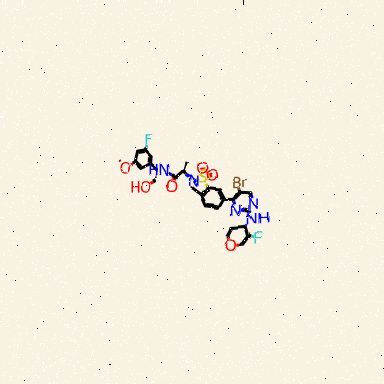 COc1cc(F)cc([C@@H](CO)NC(=O)[C@@H](C)N2Cc3ccc(-c4nc(NC5CCOCC5F)ncc4Br)cc3S2(=O)=O)c1